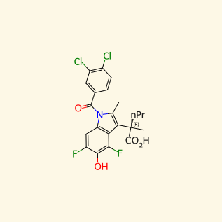 CCC[C@@](C)(C(=O)O)c1c(C)n(C(=O)c2ccc(Cl)c(Cl)c2)c2cc(F)c(O)c(F)c12